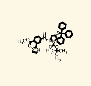 COC(=O)c1ccc(NC[C@@H]2C[C@H](SC(c3ccccc3)(c3ccccc3)c3ccccc3)CN2C(=O)OC(C)(C)C)cc1-c1nccs1